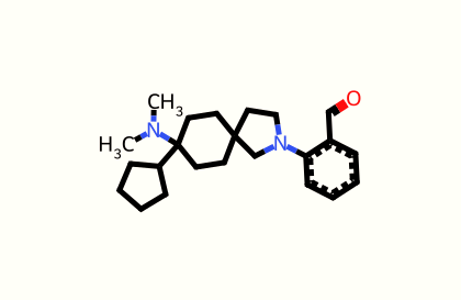 CN(C)C1(C2CCCC2)CCC2(CCN(c3ccccc3C=O)C2)CC1